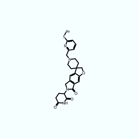 CC(C)Sc1cccc(CN2CCC3(CC2)COc2cc4c(cc23)CN(C2CCC(=O)NC2=O)C4=O)n1